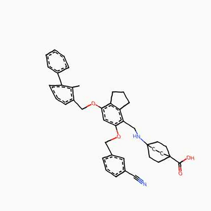 Cc1c(COc2cc(OCc3cccc(C#N)c3)c(CNC34CCC(C(=O)O)(CC3)CC4)c3c2CCC3)cccc1-c1ccccc1